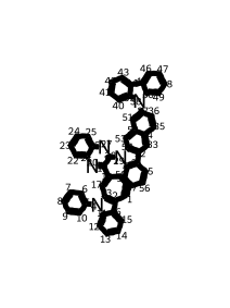 C1#Cc2c(n(-c3ccccc3)c3ccccc23)C=C(c2nc3ccccc3nc2-n2c3c(c4cc5ccc(-n6c7ccccc7c7ccccc76)cc5cc42)C=CCC3)C1